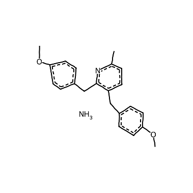 COc1ccc(Cc2ccc(C)nc2Cc2ccc(OC)cc2)cc1.N